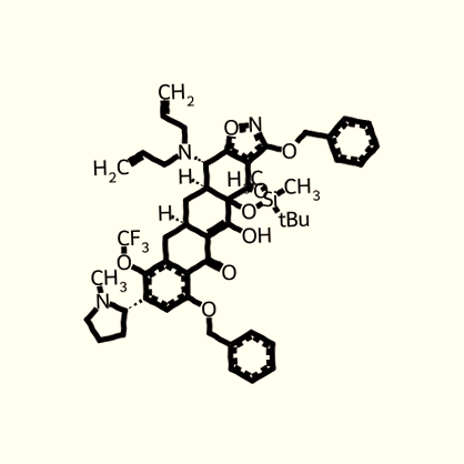 C=CCN(CC=C)[C@@H]1c2onc(OCc3ccccc3)c2C(=O)C2(O[Si](C)(C)C(C)(C)C)C(O)=C3C(=O)c4c(OCc5ccccc5)cc([C@@H]5CCCN5C)c(OC(F)(F)F)c4C[C@H]3C[C@@H]12